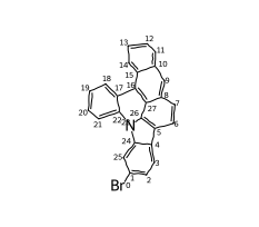 Brc1ccc2c3ccc4cc5ccccc5c5c6ccccc6n(c2c1)c3c45